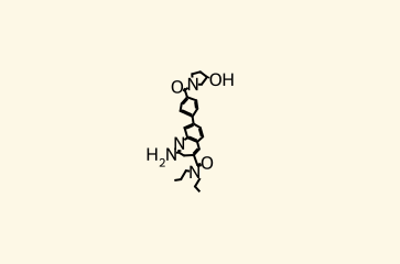 CCCN(CCC)C(=O)C1=Cc2ccc(-c3ccc(C(=O)N4CC[C@@H](O)C4)cc3)cc2N=C(N)C1